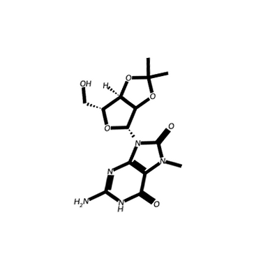 Cn1c(=O)n([C@@H]2O[C@H](CO)[C@H]3OC(C)(C)OC23)c2nc(N)[nH]c(=O)c21